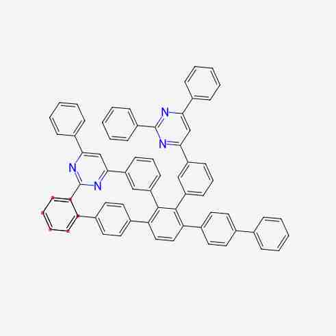 c1ccc(-c2ccc(-c3ccc(-c4ccc(-c5ccccc5)cc4)c(-c4cccc(-c5cc(-c6ccccc6)nc(-c6ccccc6)n5)c4)c3-c3cccc(-c4cc(-c5ccccc5)nc(-c5ccccc5)n4)c3)cc2)cc1